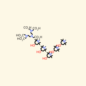 CN1C(C)(C)CC(O)CC1(C)C.CN1C(C)(C)CC(O)CC1(C)C.CN1C(C)(C)CC(O)CC1(C)C.CN1C(C)(C)CC(O)CC1(C)C.CN1C(C)(C)CC(O)CC1(C)C.O=C(O)CN(CCN(CC(=O)O)CC(=O)O)CCN(CC(=O)O)CC(=O)O